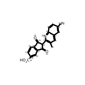 Cc1cc2cc(C(C)C)ccc2nc1C1C(=O)c2ccc(C(=O)O)cc2C1=O